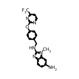 Cn1c(NCc2ccc(Oc3nccc(C(F)(F)F)n3)cc2)nc2ccc(N)cc21